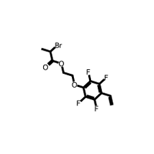 C=Cc1c(F)c(F)c(OCCOC(=O)C(C)Br)c(F)c1F